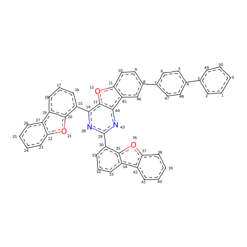 c1ccc(-c2ccc(-c3ccc4oc5c(-c6cccc7c6oc6ccccc67)nc(-c6cccc7c6oc6ccccc67)nc5c4c3)cc2)cc1